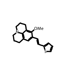 COc1c(C=Cc2cccs2)cc2c3c1CCCN3CCC2